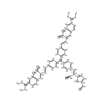 CCN(CC)c1ccc2cc(/C=C/c3ccc(N(c4ccc(/C=C/c5cc6ccc(N(CC)CC)cc6oc5=O)cc4)c4ccc(/C=C(\C#N)c5ccc(C=O)s5)cc4)cc3)c(=O)oc2c1